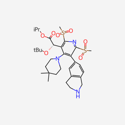 CC(C)OC(=O)[C@@H](OC(C)(C)C)c1c(S(C)(=O)=O)nc(S(C)(=O)=O)c(-c2ccc3c(c2)CCNC3)c1N1CCC(C)(C)CC1